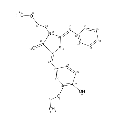 CCOc1cc(/C=C2\S/C(=N\c3ccccc3)N(CCOC)C2=O)ccc1O